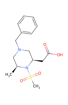 C[C@H]1CN(Cc2ccccc2)C[C@@H](CC(=O)O)N1S(C)(=O)=O